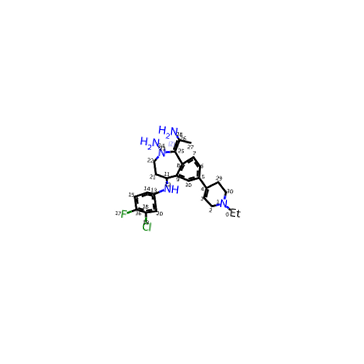 CCN1CC=C(c2ccc3c(c2)C(Nc2ccc(F)c(Cl)c2)CCN(N)/C3=C(/C)N)CC1